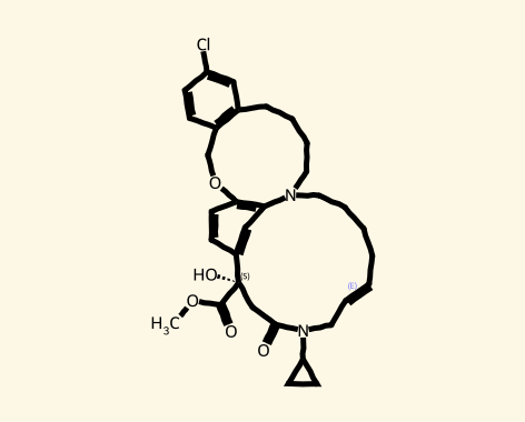 COC(=O)[C@]1(O)CC(=O)N(C2CC2)C/C=C/CCCCN2CCCCc3cc(Cl)ccc3COc3ccc1cc32